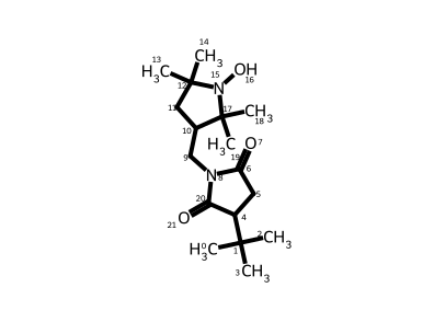 CC(C)(C)C1CC(=O)N(CC2CC(C)(C)N(O)C2(C)C)C1=O